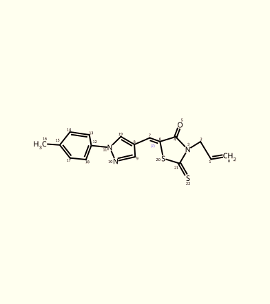 C=CCN1C(=O)/C(=C/c2cnn(-c3ccc(C)cc3)c2)SC1=S